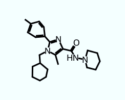 Cc1ccc(-c2nc(C(=O)NN3CCCCC3)c(C)n2CC2CCCCC2)cc1